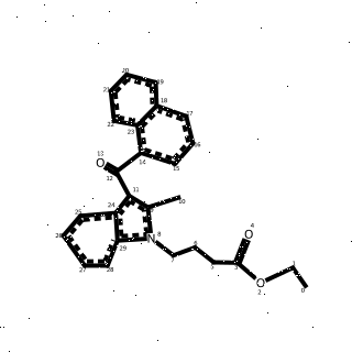 CCOC(=O)CCCn1c(C)c(C(=O)c2cccc3ccccc23)c2ccccc21